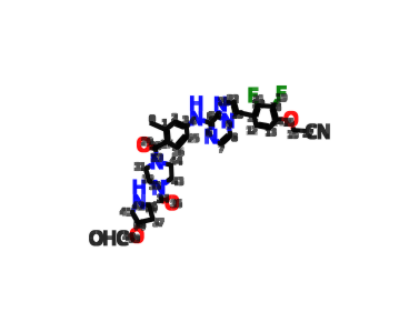 Cc1cc(Nc2nccn3c(-c4ccc(OCC#N)c(F)c4F)cnc23)ccc1C(=O)N1CCN(C(=O)[C@@H]2C[C@@H](OC=O)CN2)CC1